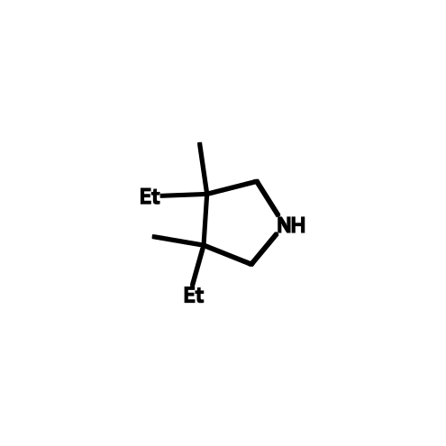 CCC1(C)CNCC1(C)CC